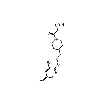 C=C(OCCC1CCN(C(=O)CC(=O)O)CC1)/C(=C\C(F)=C/C)C(C)(C)C